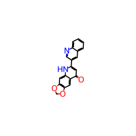 O=c1cc(-c2cnc3ccccc3c2)[nH]c2cc3c(cc12)OCO3